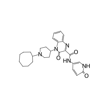 O=C(Nc1ccc(=O)[nH]c1)c1nc2ccccc2n(C2CCN(C3CCCCCCC3)CC2)c1=O